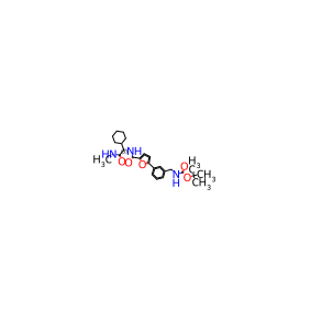 CNC(=O)[C@@H](NC(=O)c1ccc(-c2cccc(CNC(=O)OC(C)(C)C)c2)o1)C1CCCCC1